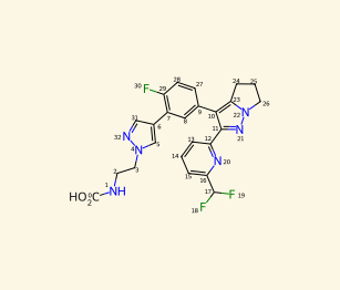 O=C(O)NCCn1cc(-c2cc(-c3c(-c4cccc(C(F)F)n4)nn4c3CCC4)ccc2F)cn1